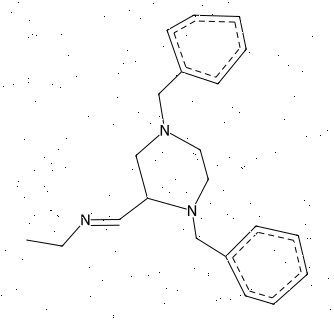 CC/N=C/C1CN(Cc2ccccc2)CCN1Cc1ccccc1